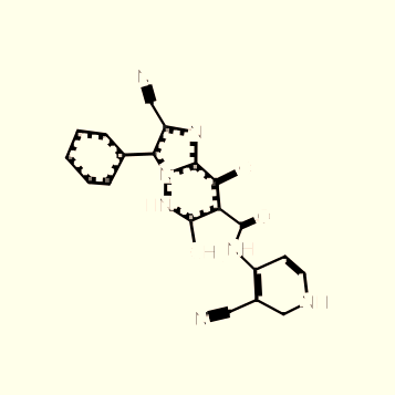 Cc1[nH]n2c(-c3ccccc3)c(C#N)nc2c(=O)c1C(=O)NC1=C(C#N)CNC=C1